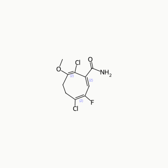 CO/C1=C(Cl)/C(C(N)=O)=C\C(F)=C(\Cl)CC1